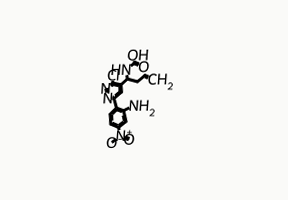 C=CCC(NC(=O)O)c1cc(-c2ccc([N+](=O)[O-])cc2N)nnc1Cl